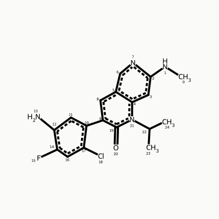 CNc1cc2c(cn1)cc(-c1cc(N)c(F)cc1Cl)c(=O)n2C(C)C